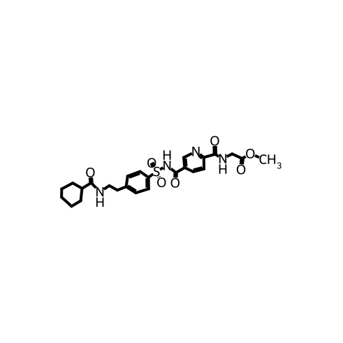 COC(=O)CNC(=O)c1ccc(C(=O)NS(=O)(=O)c2ccc(CCNC(=O)C3CCCCC3)cc2)cn1